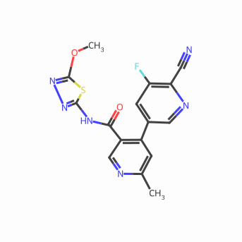 COc1nnc(NC(=O)c2cnc(C)cc2-c2cnc(C#N)c(F)c2)s1